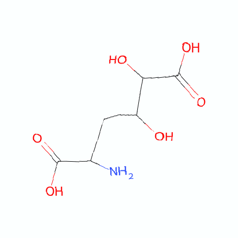 NC(CC(O)C(O)C(=O)O)C(=O)O